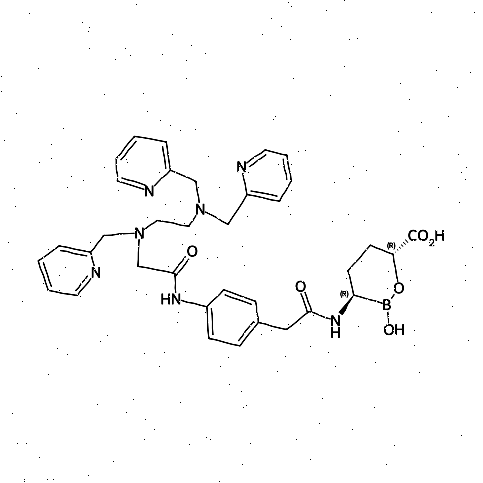 O=C(CN(CCN(Cc1ccccn1)Cc1ccccn1)Cc1ccccn1)Nc1ccc(CC(=O)N[C@H]2CC[C@H](C(=O)O)OB2O)cc1